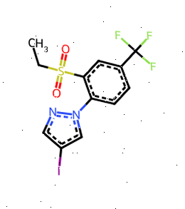 CCS(=O)(=O)c1cc(C(F)(F)F)ccc1-n1cc(I)cn1